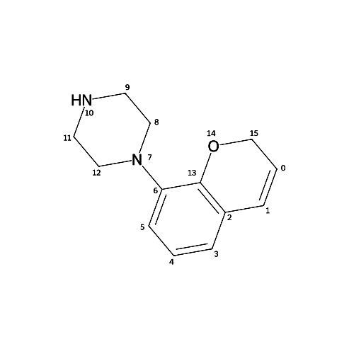 C1=Cc2cccc(N3CCNCC3)c2OC1